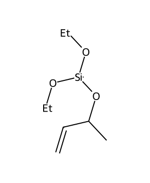 C=CC(C)O[Si](OCC)OCC